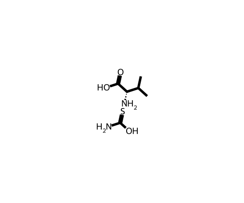 CC(C)[C@H](N)C(=O)O.NC(O)=S